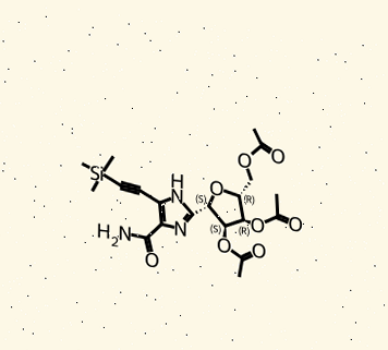 CC(=O)OC[C@H]1O[C@@H](c2nc(C(N)=O)c(C#C[Si](C)(C)C)[nH]2)[C@H](OC(C)=O)[C@@H]1OC(C)=O